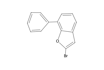 Brc1cc2cccc(-c3ccccc3)c2o1